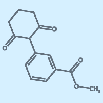 COC(=O)c1cccc(C2C(=O)CCCC2=O)c1